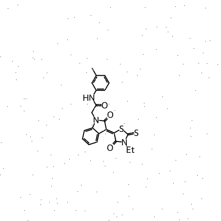 CCN1C(=O)/C(=C2/C(=O)N(CC(=O)Nc3cccc(C)c3)c3ccccc32)SC1=S